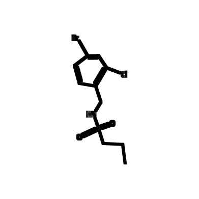 CCCS(=O)(=O)NCc1ccc(Br)cc1Cl